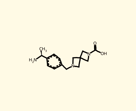 C[C@H](N)c1ccc(CN2CC3(C2)CN(C(=O)O)C3)cc1